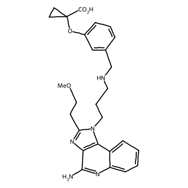 COCCc1nc2c(N)nc3ccccc3c2n1CCCNCc1cccc(OC2(C(=O)O)CC2)c1